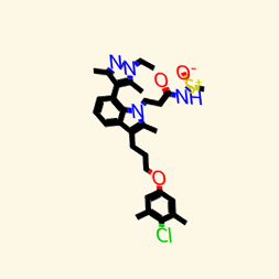 CCn1nc(C)c(-c2cccc3c(CCCOc4cc(C)c(Cl)c(C)c4)c(C)n(CCC(=O)N[S+](C)[O-])c23)c1C